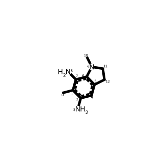 Cc1c(N)cc2c(c1N)N(C)CC2